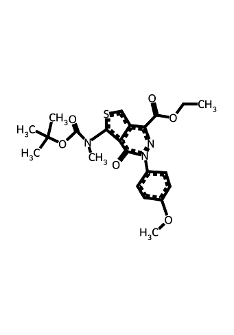 CCOC(=O)c1nn(-c2ccc(OC)cc2)c(=O)c2c(N(C)C(=O)OC(C)(C)C)scc12